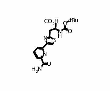 CC(C)(C)OC(=O)NC(Cc1nc(-c2cccc(C(N)=O)n2)cs1)C(=O)O